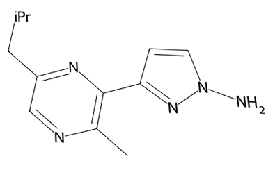 Cc1ncc(CC(C)C)nc1-c1ccn(N)n1